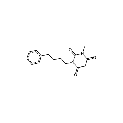 CN1C(=O)CC(=O)N(CCCCc2ccccc2)C1=O